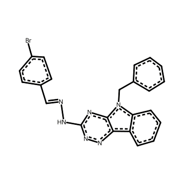 Brc1ccc(/C=N/Nc2nnc3c4ccccc4n(Cc4ccccc4)c3n2)cc1